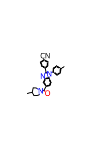 Cc1ccc(-n2c(-c3ccc(C#N)cc3)nc3cc(C(=O)N4CCC(C)CC4)ccc32)cc1